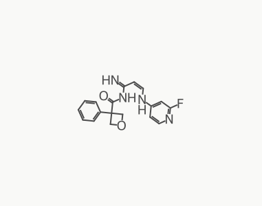 N=C(/C=C\Nc1ccnc(F)c1)NC(=O)C1(c2ccccc2)COC1